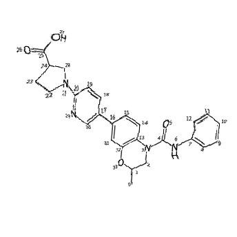 CC1CN(C(=O)Nc2ccccc2)c2ccc(-c3ccc(N4CCC(C(=O)O)C4)nc3)cc2O1